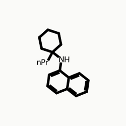 CCCC1(Nc2cccc3ccccc23)CCCCC1